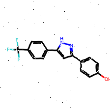 Oc1ccc(-c2cc(-c3ccc(C(F)(F)F)cc3)[nH]n2)cc1